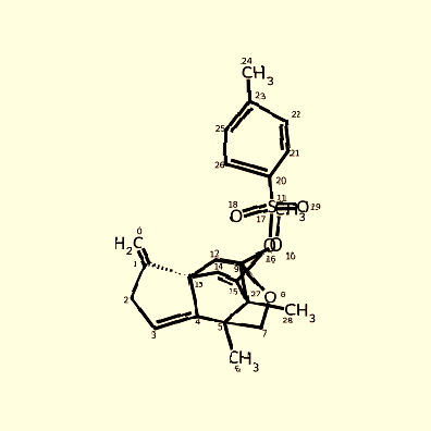 C=C1CC=C2C3(C)COC4(OC)C[C@]12C=C(OS(=O)(=O)c1ccc(C)cc1)C43C